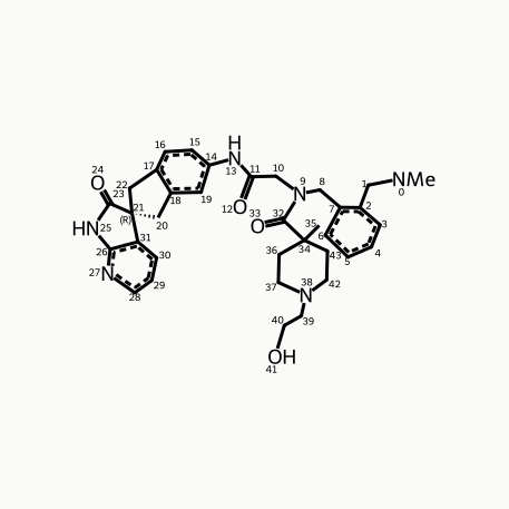 CNCc1ccccc1CN(CC(=O)Nc1ccc2c(c1)C[C@@]1(C2)C(=O)Nc2ncccc21)C(=O)C1(C)CCN(CCO)CC1